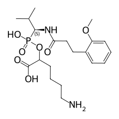 COc1ccccc1CCC(=O)N[C@H](C(C)C)P(=O)(O)OC(CCCCN)C(=O)O